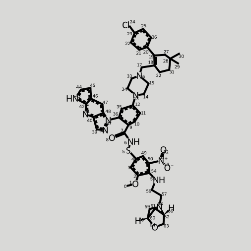 COc1cc(SNC(=O)c2ccc(N3CCN(CC4=C(c5ccc(Cl)cc5)CC(C)(C)CC4)CC3)cc2-n2ncc3nc4[nH]ccc4cc32)cc([N+](=O)[O-])c1NCCN1C[C@@H]2C[C@H]1CO2